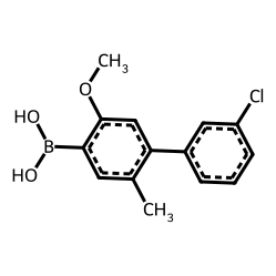 COc1cc(-c2cccc(Cl)c2)c(C)cc1B(O)O